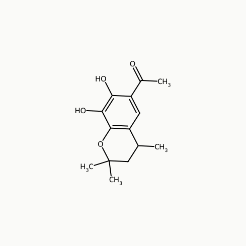 CC(=O)c1cc2c(c(O)c1O)OC(C)(C)CC2C